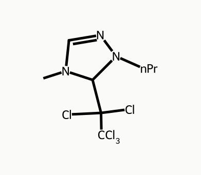 CCCN1N=CN(C)C1C(Cl)(Cl)C(Cl)(Cl)Cl